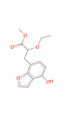 CCOC(Cc1ccc(O)c2ccoc12)C(=O)OC